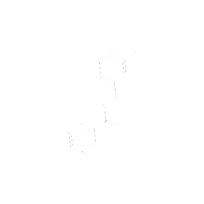 O=C(NNc1cc(I)ccn1)c1cncnc1